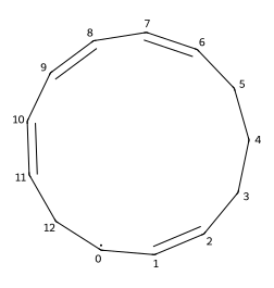 [CH]1C=CCCCC=CC=CC=CC1